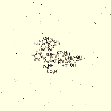 O=C(O)C(=O)Nc1cc(-c2ccccc2)cc(NC(=O)C(=O)O)c1Cl.OCC(CO)(CO)NC(CO)(CO)CO.OCC(CO)(CO)NC(CO)(CO)CO